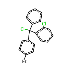 CCc1ccc(C(Cl)(c2ccccc2)c2ccccc2Cl)cc1